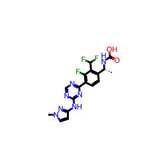 C[C@@H](NC(=O)O)c1ccc(-c2ncnc(Nc3ccn(C)n3)n2)c(F)c1C(F)F